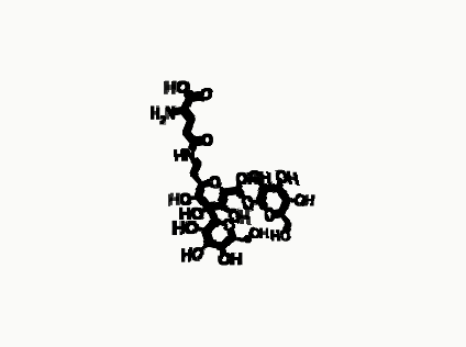 NC(CCC(=O)NCC[C@H]1O[C@H]([C@@H](O)O[C@H]2O[C@H](CO)[C@@H](O)[C@H](O)[C@@H]2O)[C@@H](O)[C@@](O)([C@H]2O[C@H](CO)[C@@H](O)[C@H](O)[C@@H]2O)[C@@H]1O)C(=O)O